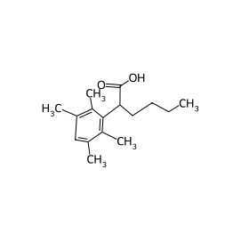 CCCCC(C(=O)O)c1c(C)c(C)cc(C)c1C